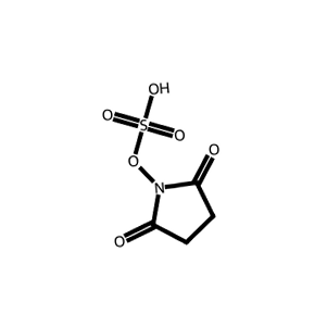 O=C1CCC(=O)N1OS(=O)(=O)O